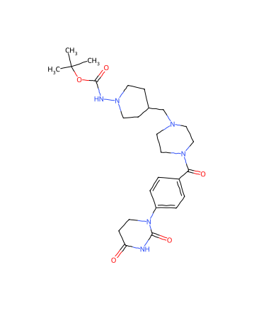 CC(C)(C)OC(=O)NN1CCC(CN2CCN(C(=O)c3ccc(N4CCC(=O)NC4=O)cc3)CC2)CC1